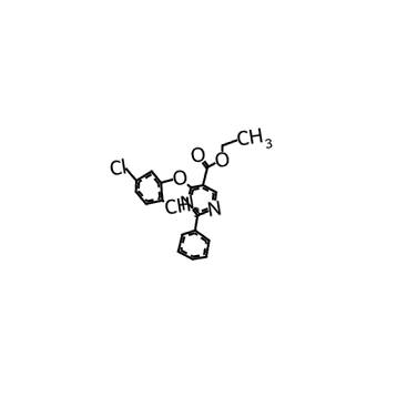 CCOC(=O)c1cnc(-c2ccccc2)nc1Oc1cc(Cl)ccc1C